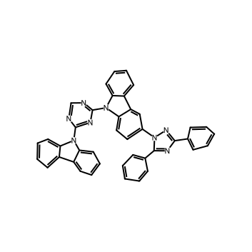 c1ccc(-c2nc(-c3ccccc3)n(-c3ccc4c(c3)c3ccccc3n4-c3ncnc(-n4c5ccccc5c5ccccc54)n3)n2)cc1